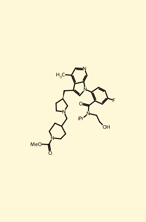 COC(=O)N1CCC(CN2CC[C@@H](Cc3cn(-c4ccc(F)cc4C(=O)N(CCO)C(C)C)c4cncc(C)c34)C2)CC1